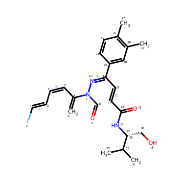 C=C(/C=C\C=C\F)N(C=O)/N=C(\C=C\C(=O)N[C@H](CO)C(C)C)c1ccc(C)c(C)c1